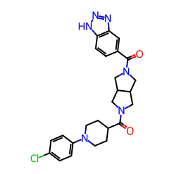 O=C(c1ccc2[nH]nnc2c1)N1CC2CN(C(=O)C3CCN(c4ccc(Cl)cc4)CC3)CC2C1